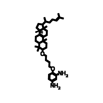 CC(C)=CCCC(C)C1CC[C@@]2(C)C3=C(CCC12C)C1(C)CCC(OCCCCOc2ccc(N)cc2N)C(C)(C)C1CC3